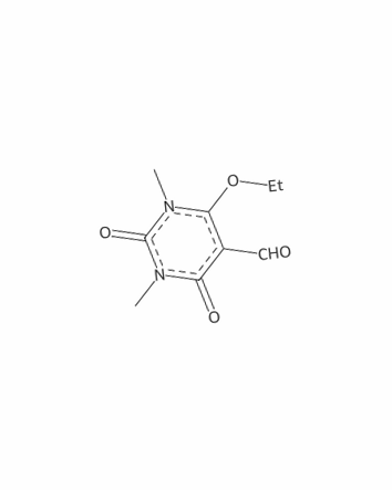 CCOc1c(C=O)c(=O)n(C)c(=O)n1C